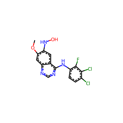 COc1cc2ncnc(Nc3ccc(Cl)c(Cl)c3F)c2cc1NO